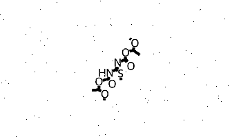 COC(C)OC(=O)N=C(NC(=O)OC(C)OC)SC